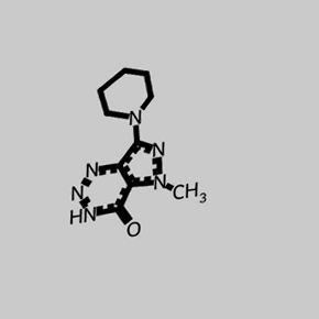 Cn1nc(N2CCCCC2)c2nn[nH]c(=O)c21